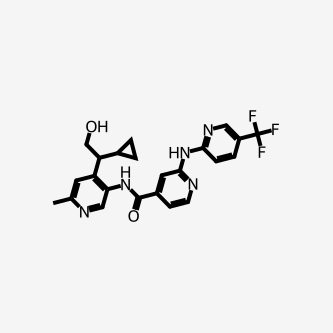 Cc1cc(C(CO)C2CC2)c(NC(=O)c2ccnc(Nc3ccc(C(F)(F)F)cn3)c2)cn1